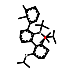 Cc1cccc(-c2cccc(-c3c(OC(C)C)cccc3OC(C)C)c2P(C(C)(C)C)C(C)(C)C)c1C